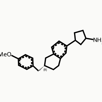 COc1ccc(C[C@H]2CCc3cc(C4CCC(N)C4)ccc3C2)cc1